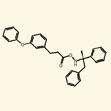 C[C@@](Cc1ccccc1)(NOC(=O)CCc1cccc(Oc2ccccc2)c1)c1ccccc1